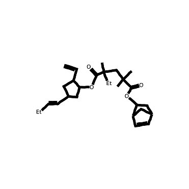 C=CC1CC(/C=C/CC)CC1OC(=O)C(C)(CC)CC(C)(C)C(=O)OC1CC2C=CC1C2